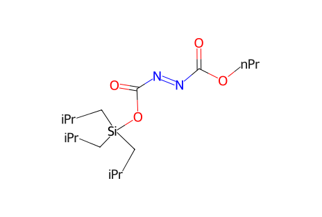 CCCOC(=O)N=NC(=O)O[Si](CC(C)C)(CC(C)C)CC(C)C